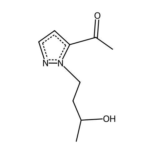 CC(=O)c1ccnn1CCC(C)O